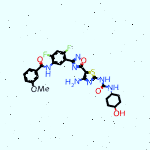 COc1cccc(C(=O)Nc2cc(-c3noc(-c4sc(NC(=O)N[C@H]5CC[C@H](O)CC5)nc4N)n3)c(F)cc2F)c1